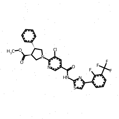 COC(=O)[C@@H]1CN(c2ncc(C(=O)Nc3nc(-c4cccc(C(F)(F)F)c4F)cs3)cc2Cl)C[C@H]1c1ccccc1